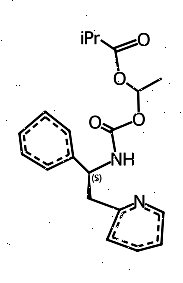 CC(OC(=O)N[C@@H](Cc1ccccn1)c1ccccc1)OC(=O)C(C)C